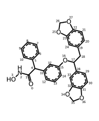 O=C(NO)C(c1ccccc1)c1cccc(OC(Cc2ccc3c(c2)OCO3)c2ccc3c(c2)OCO3)c1